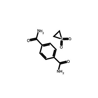 NC(=O)c1ccc(C(N)=O)cc1.O=S1(=O)CC1